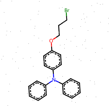 BrCCCOc1ccc(N(c2ccccc2)c2ccccc2)cc1